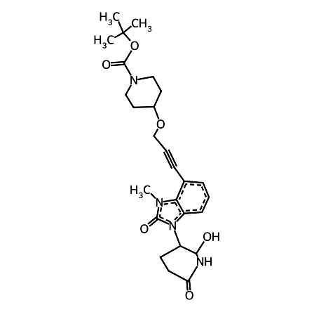 Cn1c(=O)n(C2CCC(=O)NC2O)c2cccc(C#CCOC3CCN(C(=O)OC(C)(C)C)CC3)c21